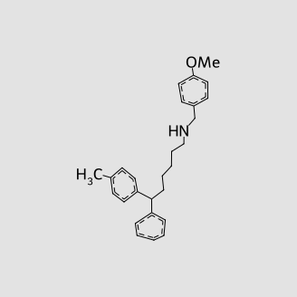 COc1ccc(CNCCCCCC(c2ccccc2)c2ccc(C)cc2)cc1